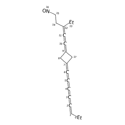 CCC=C=C=C=C=C=C1CC(=C=C=C(CC)CCN=O)C1